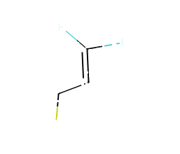 FC(F)=CC[S]